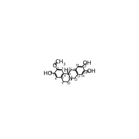 COc1cc2c(cc1O)CCN1Cc3cc(O)c(O)cc3C[C@@H]21